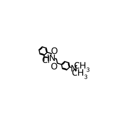 CN(C)c1ccc(C(=O)CNC(=O)c2ccccc2Cl)cc1